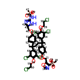 CC(CCC(C)(c1ccc(OCc2ocnc2S(C)(=O)=O)cc1)c1cc(Cl)c(OCCCl)c(Cl)c1)(c1ccc(OCc2cnc(NS(C)(=O)=O)[nH]2)cc1)c1cc(Cl)c(OCCCl)c(Cl)c1